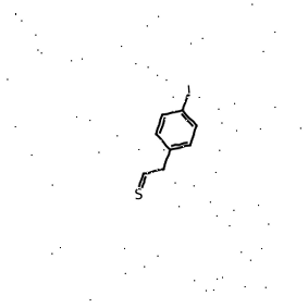 S=CCc1ccc(I)cc1